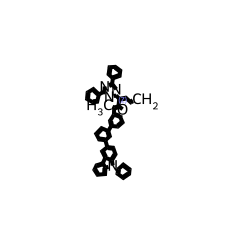 C=C/C=C(/c1nc(-c2ccccc2)nc(-c2ccccc2)n1)c1oc2ccc(-c3cccc(-c4ccc5c(c4)c4ccccc4n5-c4ccccc4)c3)cc2c1C